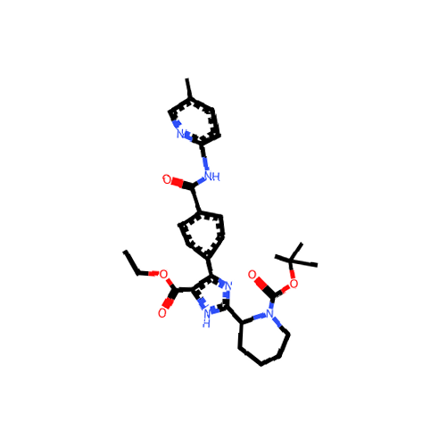 CCOC(=O)c1[nH]c(C2CCCCN2C(=O)OC(C)(C)C)nc1-c1ccc(C(=O)Nc2ccc(C)cn2)cc1